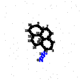 N#[N+]c1ccc2ccc3cccc4ccc1c2c34